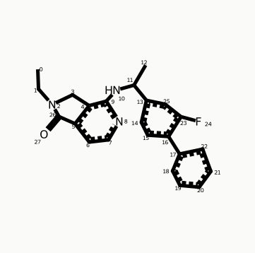 CCN1Cc2c(ccnc2NC(C)c2ccc(-c3ccccc3)c(F)c2)C1=O